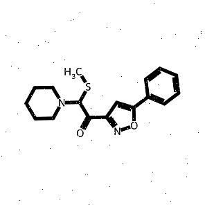 CSC(C(=O)c1cc(-c2ccccc2)on1)N1CCCCC1